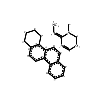 CN1COC=NC1=N[N+](=O)[O-].c1ccc2c(c1)ccc1c3c(ccc12)CCCC3